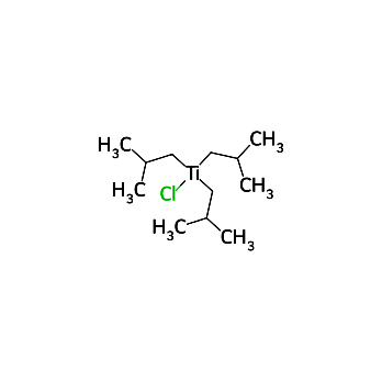 CC(C)[CH2][Ti]([Cl])([CH2]C(C)C)[CH2]C(C)C